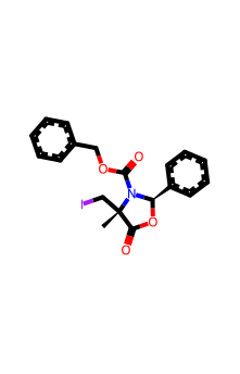 C[C@]1(CI)C(=O)O[C@H](c2ccccc2)N1C(=O)OCc1ccccc1